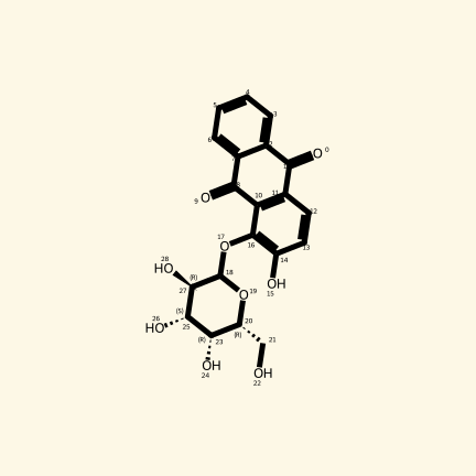 O=C1c2ccccc2C(=O)c2c1ccc(O)c2OC1O[C@H](CO)[C@H](O)[C@H](O)[C@H]1O